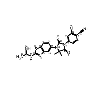 CC1(C)C(=O)N(c2ccc(C#N)c(Cl)c2)C(=S)N1c1ccc2sc(NC(=N)N)nc2c1